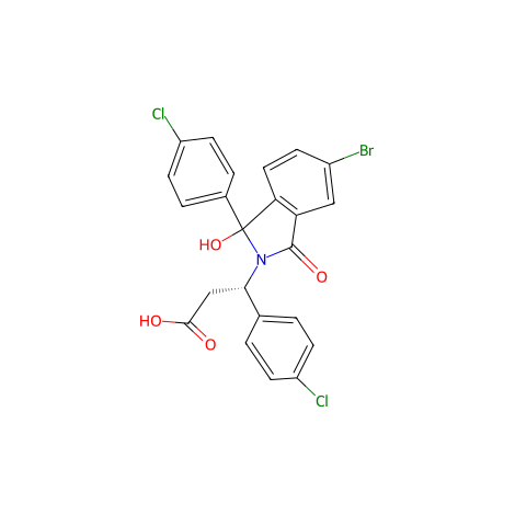 O=C(O)C[C@@H](c1ccc(Cl)cc1)N1C(=O)c2cc(Br)ccc2C1(O)c1ccc(Cl)cc1